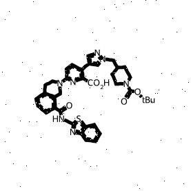 CC(C)(C)OC(=O)N1CCC(Cn2cc(-c3ccc(N4CCc5cccc(C(=O)Nc6nc7ccccc7s6)c5C4)nc3C(=O)O)cn2)CC1